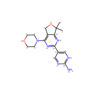 CC1(C)OCc2c(N3CCOCC3)nc(-c3cnc(N)nc3)nc21